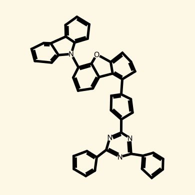 c1ccc(-c2nc(-c3ccccc3)nc(-c3ccc(-c4cccc5oc6c(-n7c8ccccc8c8ccccc87)cccc6c45)cc3)n2)cc1